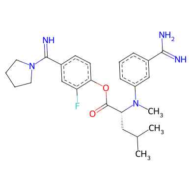 CC(C)C[C@H](C(=O)Oc1ccc(C(=N)N2CCCC2)cc1F)N(C)c1cccc(C(=N)N)c1